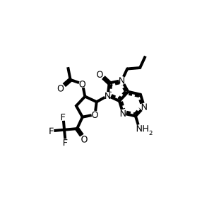 CCCn1c(=O)n(C2OC(C(=O)C(F)(F)F)CC2OC(C)=O)c2nc(N)ncc21